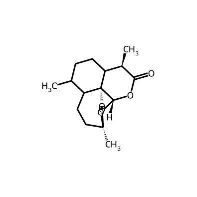 CC1CCC2[C@@H](C)C(=O)O[C@@H]3O[C@]4(C)CCC1[C@@]23OO4